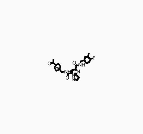 CC(=O)C12CCC(CNC(=O)c3cc(C(=O)NCc4ccc(F)c(C)c4)nc4ccnn34)(CC1)CC2